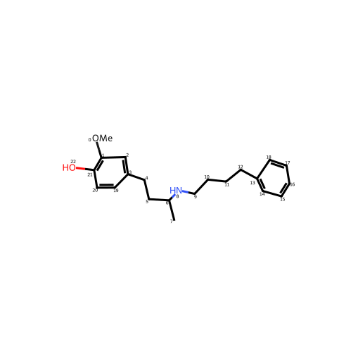 COc1cc(CCC(C)NCCCCc2ccccc2)ccc1O